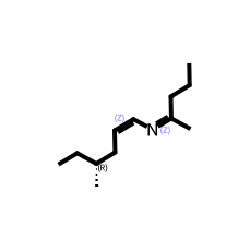 CCC/C(C)=N\C=C/C[C@H](C)CC